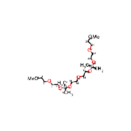 COCCOCCO[Si](C)(C)OCCOCCO[Si](C)(C)OCCOCCOC